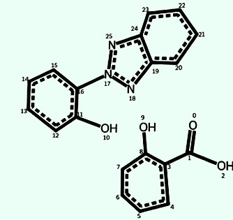 O=C(O)c1ccccc1O.Oc1ccccc1-n1nc2ccccc2n1